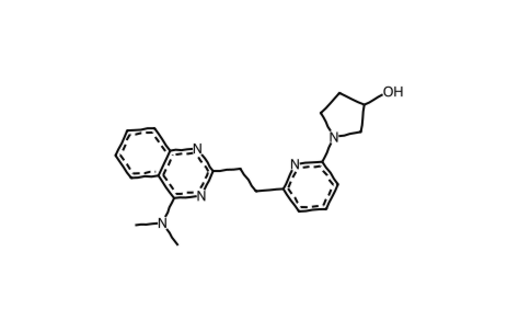 CN(C)c1nc(CCc2cccc(N3CCC(O)C3)n2)nc2ccccc12